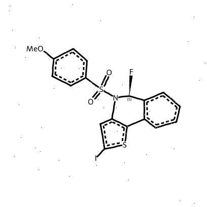 COc1ccc(S(=O)(=O)N2c3cc(I)sc3-c3ccccc3[C@@H]2F)cc1